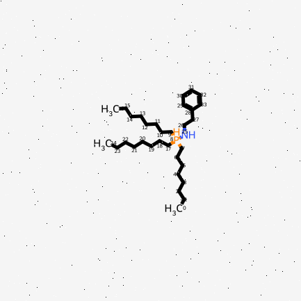 CCCCCCCC[PH](CCCCCCCC)(CCCCCCCC)NCCc1ccccc1